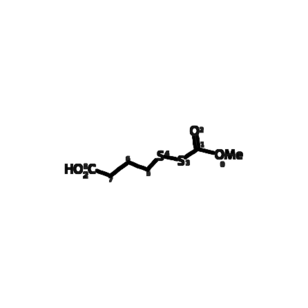 COC(=O)SSCCCC(=O)O